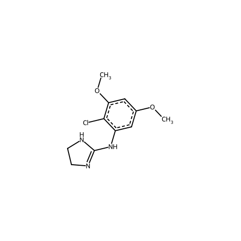 COc1cc(NC2=NCCN2)c(Cl)c(OC)c1